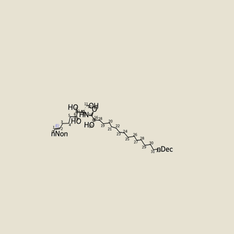 CCCCCCCCC/C=C/CCC[C@@H](O)[C@@H](O)[C@H](CO)NC(=O)[C@H](O)CCCCCCCCCCCCCCCCCCCCCCCC